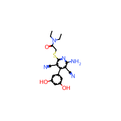 CCN(CC)C(=O)CSc1nc(N)c(C#N)c(-c2cc(O)cc(O)c2)c1C#N